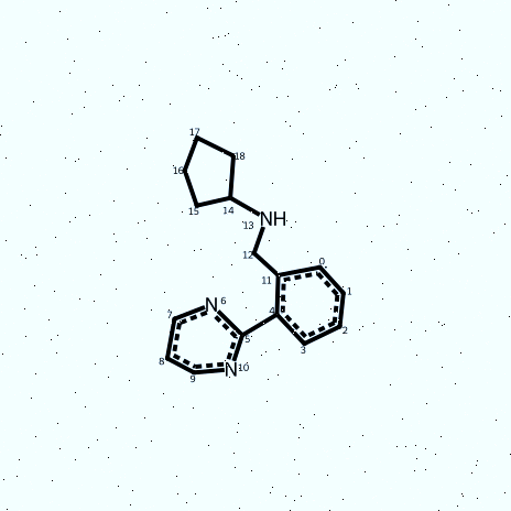 [c]1cccc(-c2ncccn2)c1CNC1CCCC1